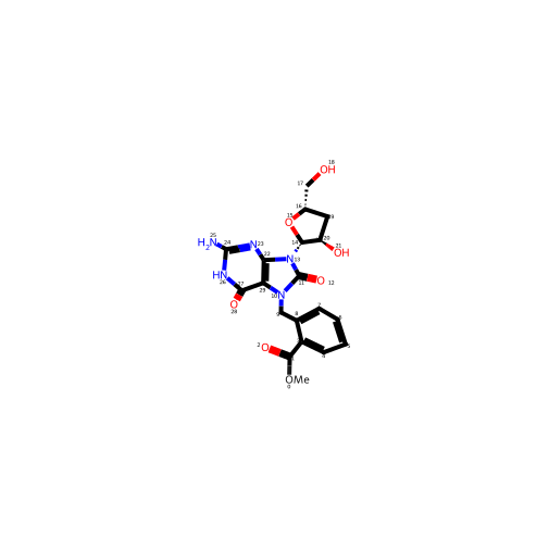 COC(=O)c1ccccc1Cn1c(=O)n([C@@H]2O[C@H](CO)C[C@H]2O)c2nc(N)[nH]c(=O)c21